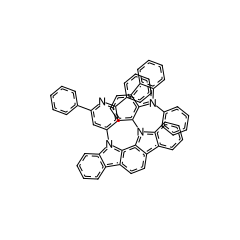 c1ccc(-c2cc(-n3c4ccccc4c4ccc5c6ccccc6n(-c6cccc7c8ccccc8n(-c8ccccc8)c67)c5c43)cc(-c3ccccc3)n2)cc1